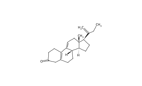 C=C(CC)[C@H]1CC[C@H]2[C@@H]3CCC4=C(CCC(=O)C4)C3=CC[C@]12C